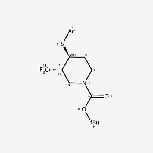 CC(=O)S[C@H]1CCN(C(=O)OC(C)(C)C)C[C@@H]1C(F)(F)F